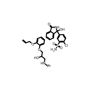 C=CCOc1ccccc1OCC(O)CNC(C)C.NS(=O)(=O)c1cc(C2(O)NC(=O)c3ccccc32)ccc1Cl